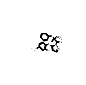 CC(Oc1ccccc1)(C(=O)n1nccc1Oc1ccc(C(F)(F)F)cc1Cl)[N+](=O)[O-]